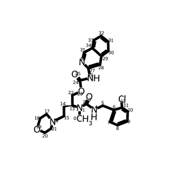 CN(C(=O)NCc1ccccc1Cl)[C@@H](CCN1CCOCC1)COC(=O)Nc1cc2ccccc2cn1